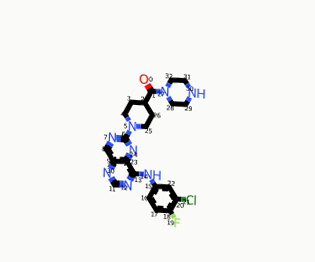 O=C(C1CCN(c2ncc3ncnc(Nc4ccc(F)c(Cl)c4)c3n2)CC1)N1CCNCC1